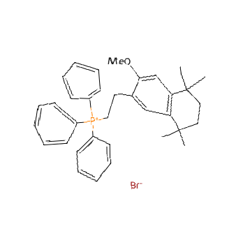 COc1cc2c(cc1CC[P+](c1ccccc1)(c1ccccc1)c1ccccc1)C(C)(C)CCC2(C)C.[Br-]